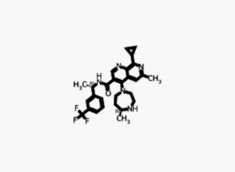 Cc1cc2c(N3CCN[C@@H](C)CC3)c(C(=O)N[C@@H](C)c3cccc(C(F)(F)F)c3)cnc2c(C2CC2)n1